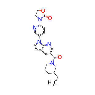 CCC1CCCN(C(=O)c2cnc3c(ccn3-c3ccc(N4CCOC4=O)nc3)c2)C1